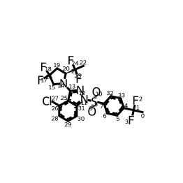 CC(F)(F)c1ccc(S(=O)(=O)n2nc(N3CC(F)(F)C[C@H]3C(C)(F)F)c3c(Cl)cccc32)cc1